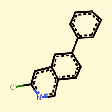 Clc1cc2cc(-c3ccccc3)ccc2cn1